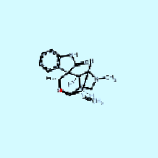 C=C[C@@]12CN(C)[C@H]3[C@@H]1[C@@]1(C(=O)Nc4ccccc41)[C@H]1CC2[C@@H]3CO1